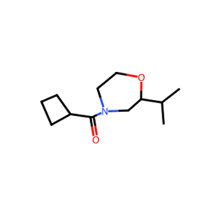 CC(C)C1CN(C(=O)C2CCC2)CCO1